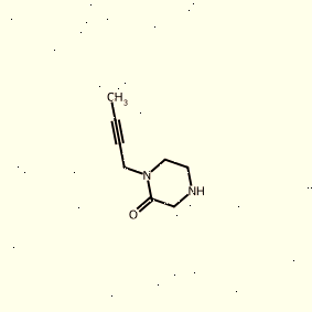 CC#CCN1CCNCC1=O